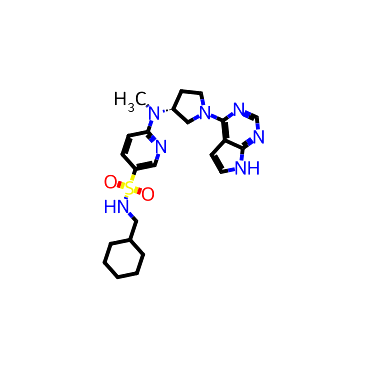 CN(c1ccc(S(=O)(=O)NCC2CCCCC2)cn1)[C@@H]1CCN(c2ncnc3[nH]ccc23)C1